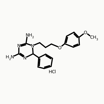 COc1ccc(OCCCN2C(N)=NC(N)=NC2c2ccccc2)cc1.Cl